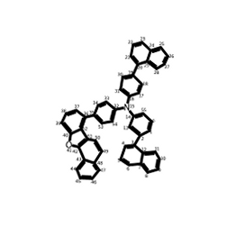 c1cc(-c2cccc3ccccc23)cc(N(c2ccc(-c3cccc4ccccc34)cc2)c2ccc(-c3cccc4oc5c6ccccc6ccc5c34)cc2)c1